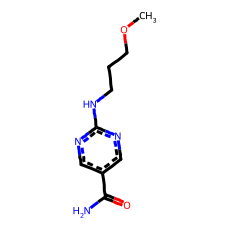 COCCCNc1ncc(C(N)=O)cn1